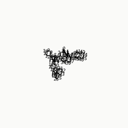 Cc1cc(-c2cc(-c3ccccc3)nc(-c3cccc(-c4cccc5cccnc45)c3)n2)c2ccc3ccc(-c4ccc5ccccc5c4)nc3c2n1